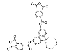 O=C(Oc1ccc(C2(c3ccc(OC(=O)c4ccc5c(c4)C(=O)OC5=O)cc3)CCCCCCCC2)cc1)c1ccc2c(c1)C(=O)OC2=O